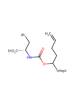 C=CCCC(CCCCCCC)OC(=O)N[C@@H](CC(C)C)C(=O)OCC